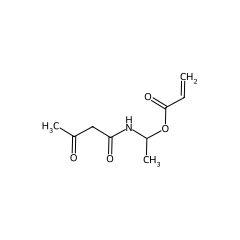 C=CC(=O)OC(C)NC(=O)CC(C)=O